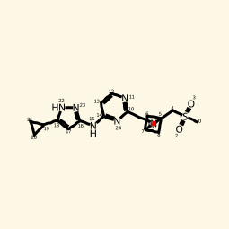 CS(=O)(=O)CC12CC(C1)N(c1nccc(Nc3cc(C4CC4)[nH]n3)n1)C2